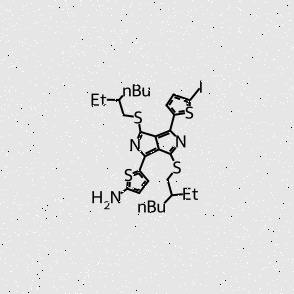 CCCCC(CC)CSC1=NC(c2ccc(I)s2)=C2C(SCC(CC)CCCC)=NC(c3ccc(N)s3)=C12